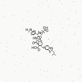 CC(C)CC1N=C2C=CN(CC3=C(C(=O)O)N4C(=O)C(NC(=O)/C(=N\OC(C)(C)C(=O)O)c5csc(N)n5)[C@H]4SC3)C=C2S1